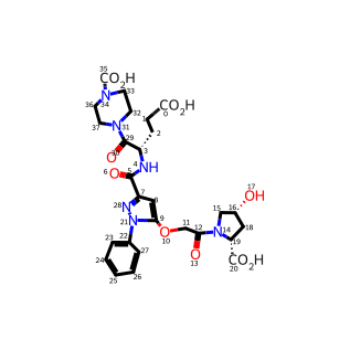 O=C(O)CC[C@H](NC(=O)c1cc(OCC(=O)N2C[C@H](O)C[C@@H]2C(=O)O)n(-c2ccccc2)n1)C(=O)N1CCN(C(=O)O)CC1